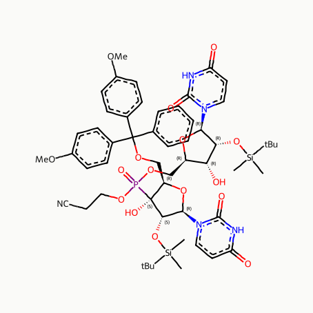 COc1ccc(C(OC[C@H]2O[C@@H](n3ccc(=O)[nH]c3=O)[C@H](O[Si](C)(C)C(C)(C)C)[C@@]2(O)P(=O)(OCCC#N)OC[C@H]2O[C@@H](n3ccc(=O)[nH]c3=O)[C@H](O[Si](C)(C)C(C)(C)C)[C@@H]2O)(c2ccccc2)c2ccc(OC)cc2)cc1